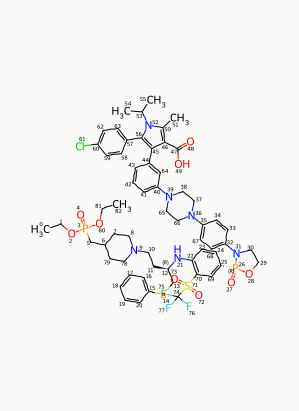 CCOP(=O)(CC1CCN(CC[C@H](CSc2ccccc2)Nc2ccc([P@@]3(=O)OCCN3c3ccc(N4CCN(c5cccc(-c6c(C(=O)O)c(C)n(C(C)C)c6-c6ccc(Cl)cc6)c5)CC4)cc3)cc2S(=O)(=O)C(F)(F)F)CC1)OCC